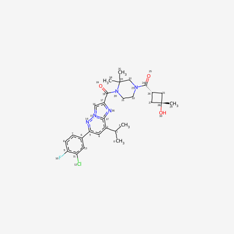 CC(C)c1cc(-c2ccc(F)c(Cl)c2)nn2cc(C(=O)N3CCN(C(=O)[C@H]4C[C@@](C)(O)C4)CC3(C)C)nc12